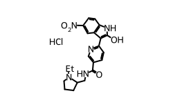 CCN1CCCC1CNC(=O)c1ccc(-c2c(O)[nH]c3ccc([N+](=O)[O-])cc23)nc1.Cl